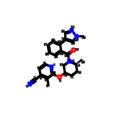 Cc1c(C#N)ccnc1O[C@@H]1CC[C@@H](C)N(C(=O)c2ccccc2-c2cnn(C)c2)C1